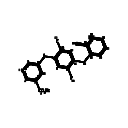 CCOC(=O)c1cncc(Cc2cc(F)c(Cc3ccc[nH]c3=O)cc2F)c1